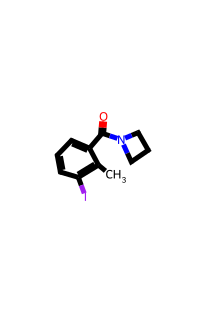 Cc1c(I)cccc1C(=O)N1CCC1